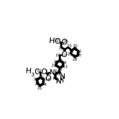 CC(OC(=O)Nc1cncnc1-c1ccc(COC(CC(=O)O)Cc2ccccc2)cc1)c1ccccc1